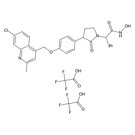 Cc1cc(COc2ccc(C3CCN(C(C(=O)NO)C(C)C)C3=O)cc2)c2ccc(Cl)cc2n1.O=C(O)C(F)(F)F.O=C(O)C(F)(F)F